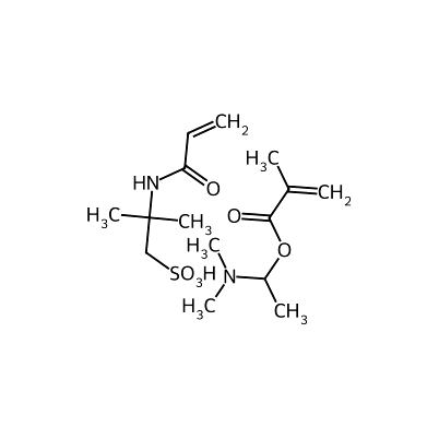 C=C(C)C(=O)OC(C)N(C)C.C=CC(=O)NC(C)(C)CS(=O)(=O)O